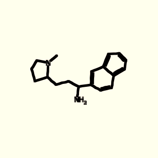 CN1CCCC1CCC(N)c1ccc2ccccc2c1